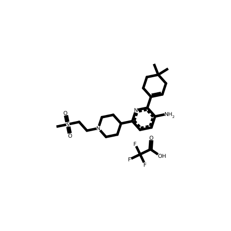 CC1(C)CC=C(c2nc(C3CCN(CCS(C)(=O)=O)CC3)ccc2N)CC1.O=C(O)C(F)(F)F